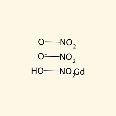 O=[N+]([O-])O.O=[N+]([O-])[O-].O=[N+]([O-])[O-].[Gd]